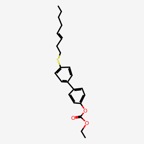 CCCCC=CCCSc1ccc(-c2ccc(OC(=O)OCC)cc2)cc1